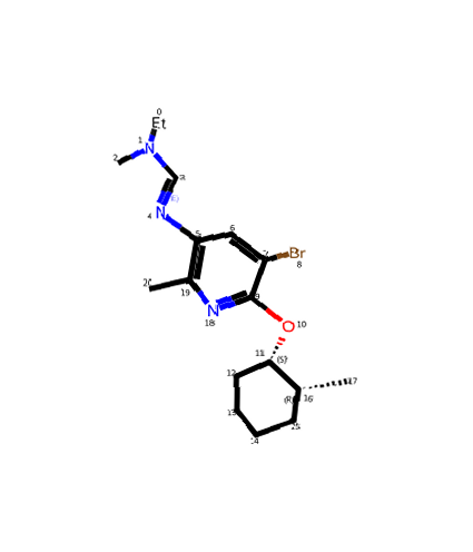 CCN(C)/C=N/c1cc(Br)c(O[C@H]2CCCC[C@H]2C)nc1C